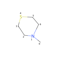 CN1C[CH]SCC1